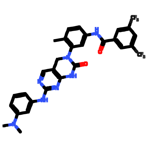 Cc1ccc(NC(=O)c2cc(C(F)(F)F)cc(C(F)(F)F)c2)cc1N1Cc2cnc(Nc3cccc(N(C)C)c3)nc2NC1=O